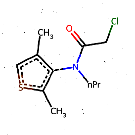 CCCN(C(=O)CCl)c1c(C)csc1C